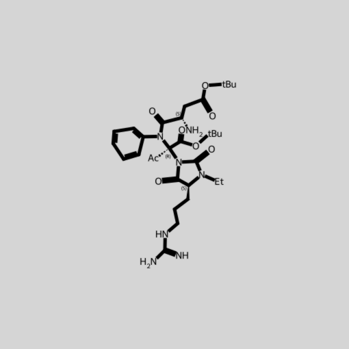 CCN1C(=O)N([C@](C(C)=O)(C(=O)OC(C)(C)C)N(C(=O)[C@@H](N)CC(=O)OC(C)(C)C)c2ccccc2)C(=O)[C@@H]1CCCNC(=N)N